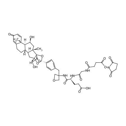 C[C@]12C=CC(=O)C=C1CC[C@@H]1[C@@H]2[C@@H](O)C[C@@]2(C)[C@H]1C[C@H]1O[C@@H](c3ccc(CC4(NC(=O)[C@H](CCC(=O)O)NC(=O)CNC(=O)CCC(=O)ON5C(=O)CCC5=O)COC4)cc3)O[C@]12C(=O)CO